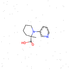 CC1(C(=O)O)CCCCN1c1[c]nccc1